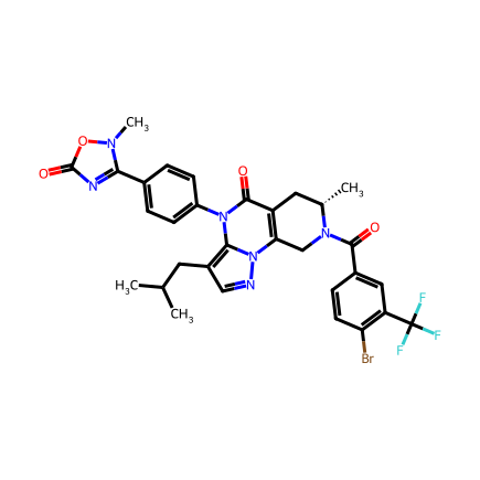 CC(C)Cc1cnn2c3c(c(=O)n(-c4ccc(-c5nc(=O)on5C)cc4)c12)C[C@H](C)N(C(=O)c1ccc(Br)c(C(F)(F)F)c1)C3